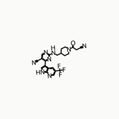 N#CCC(=O)N1CCC(CNc2ncc(C#N)c(-c3c[nH]c4ncc(C(F)(F)F)cc34)n2)CC1